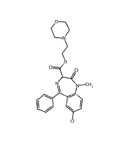 CN1C(=O)C(C(=O)OCCN2CCOCC2)N=C(c2ccccc2)c2cc(Cl)ccc21